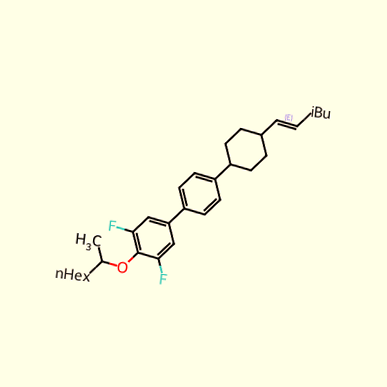 CCCCCCC(C)Oc1c(F)cc(-c2ccc(C3CCC(/C=C/C(C)CC)CC3)cc2)cc1F